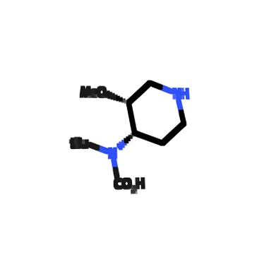 CO[C@@H]1CNCC[C@@H]1N(C(=O)O)C(C)(C)C